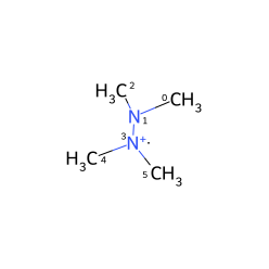 CN(C)[N+](C)C